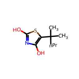 CCCC(C)(C)c1sc(O)nc1O